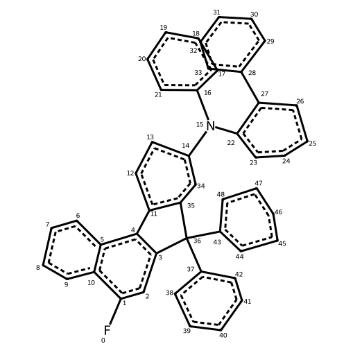 Fc1cc2c(c3ccccc13)-c1ccc(N(c3ccccc3)c3ccccc3-c3ccccc3)cc1C2(c1ccccc1)c1ccccc1